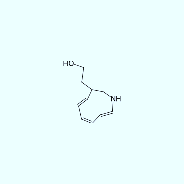 OCCC1/C=C/C=C\C=C\NC1